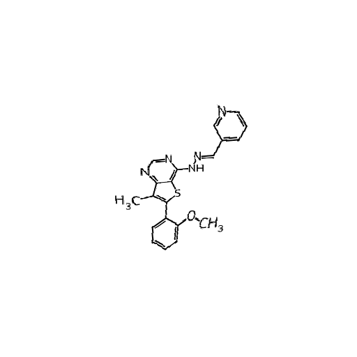 COc1ccccc1-c1sc2c(NN=Cc3cccnc3)ncnc2c1C